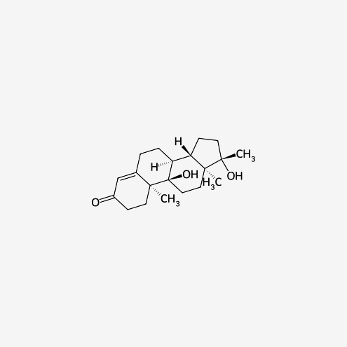 C[C@]1(O)CC[C@H]2[C@@H]3CCC4=CC(=O)CC[C@]4(C)[C@@]3(O)CC[C@@]21C